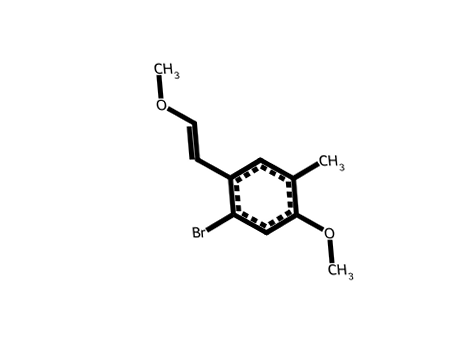 COC=Cc1cc(C)c(OC)cc1Br